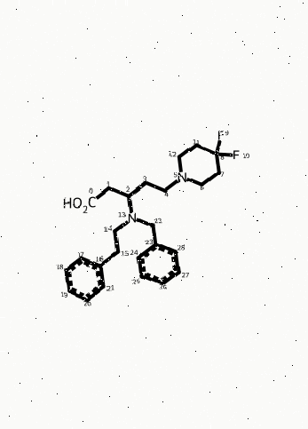 O=C(O)CC(CCN1CCC(F)(F)CC1)N(CCc1ccccc1)Cc1ccccc1